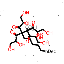 CCCCCCCCCCCCCCCC(C(=O)C(O)CO)(C(=O)C(O)CO)C(C(=O)O)(C(=O)C(O)CO)C(=O)C(O)CO